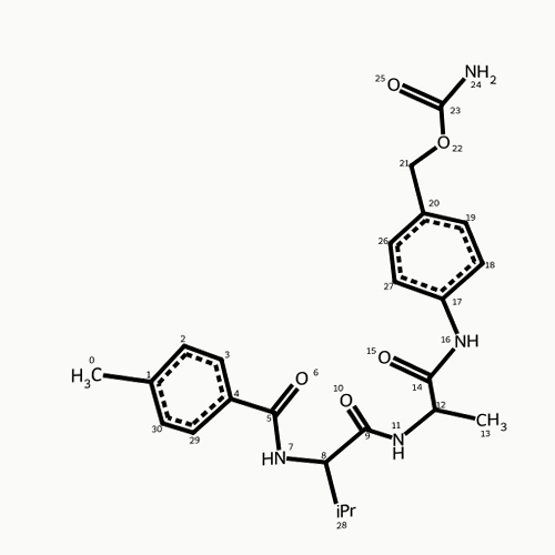 Cc1ccc(C(=O)NC(C(=O)NC(C)C(=O)Nc2ccc(COC(N)=O)cc2)C(C)C)cc1